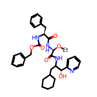 CCO[C@H](NC(=O)[C@H](Cc1ccccc1)NC(=O)OCc1ccccc1)C(=O)NC(CC1CCCCC1)[C@@H](O)c1ccccn1